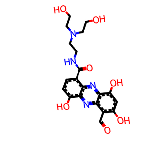 O=Cc1c(O)cc(O)c2nc3c(C(=O)NCCN(CCO)CCO)ccc(O)c3nc12